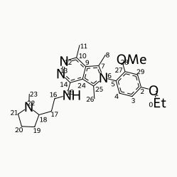 CCOc1ccc(-n2c(C)c3c(C)nnc(NCCC4CCCN4C)c3c2C)c(OC)c1